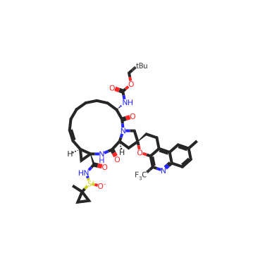 Cc1ccc2nc(C(F)(F)F)c3c(c2c1)CC[C@]1(C[C@H]2C(=O)N[C@]4(C(=O)N[S+]([O-])C5(C)CC5)C[C@H]4/C=C\CCCCC[C@H](NC(=O)OCC(C)(C)C)C(=O)N2C1)O3